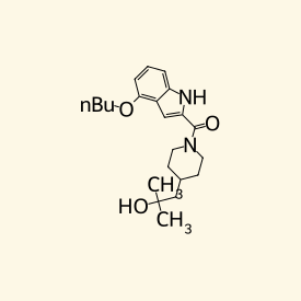 CCCCOc1cccc2[nH]c(C(=O)N3CCC(CC(C)(C)O)CC3)cc12